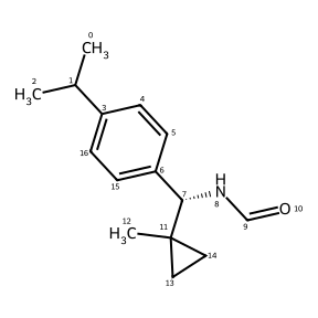 CC(C)c1ccc([C@H](NC=O)C2(C)CC2)cc1